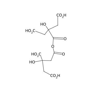 O=C(O)CC(O)(CC(=O)OC(=O)C(O)(CC(=O)O)CC(=O)O)C(=O)O